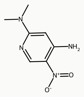 CN(C)c1cc(N)c([N+](=O)[O-])cn1